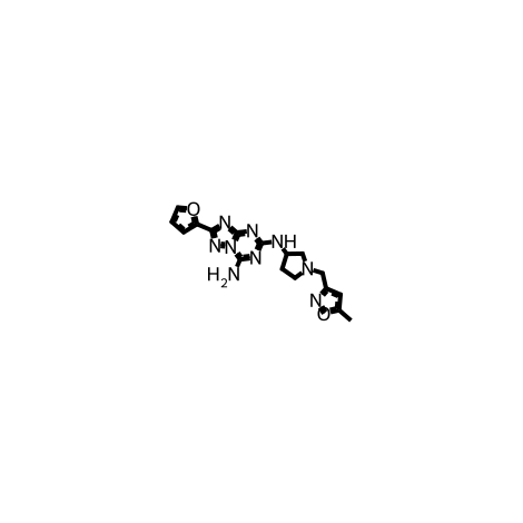 Cc1cc(CN2CCC(Nc3nc(N)n4nc(-c5ccco5)nc4n3)C2)no1